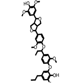 CCCc1cc(OC)c(O)c(Oc2ccc(C(CC)Oc3ccc(C4OCC5C(c6cc(OC)c(O)c(OC)c6)OCC45)cc3OC)cc2OC)c1